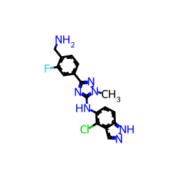 Cn1nc(-c2ccc(CN)c(F)c2)nc1Nc1ccc2[nH]ncc2c1Cl